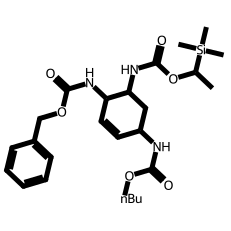 CCCCOC(=O)NC1C=CC(NC(=O)OCc2ccccc2)C(NC(=O)OC(C)[Si](C)(C)C)C1